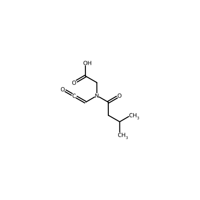 CC(C)CC(=O)N(C=C=O)CC(=O)O